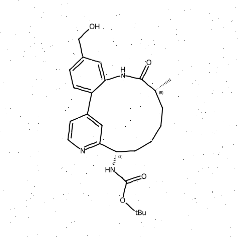 C[C@@H]1CCCC[C@H](NC(=O)OC(C)(C)C)c2cc(ccn2)-c2ccc(CO)cc2NC1=O